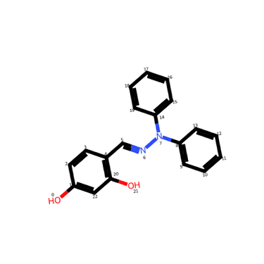 Oc1ccc(C=NN(c2ccccc2)c2ccccc2)c(O)c1